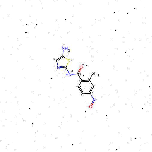 Cc1cc(N=O)ccc1C(=O)Nc1ncc(N)s1